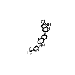 O=C(Cc1ccc(-c2cnc3[nH]c(Cl)cc3c2)cc1F)Nc1ccc(C(F)(F)F)cn1